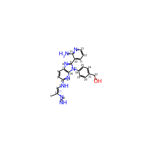 C/C(=C/Nc1ccc2nc(-c3cccnc3N)n(-c3ccc(CO)cc3)c2n1)N=N